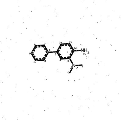 CN(C)c1cc(-c2ccccc2)ccc1N